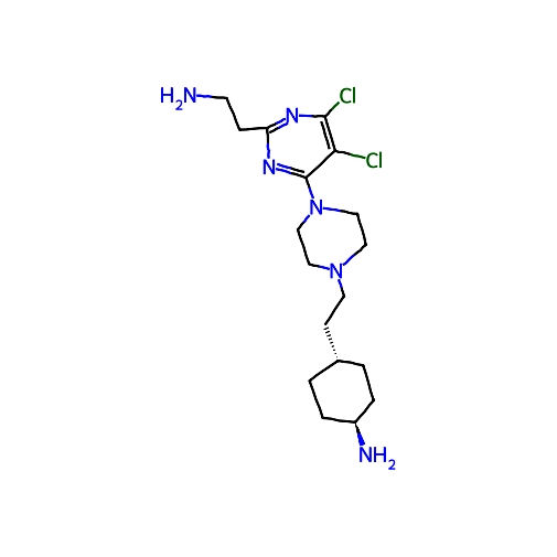 NCCc1nc(Cl)c(Cl)c(N2CCN(CC[C@H]3CC[C@H](N)CC3)CC2)n1